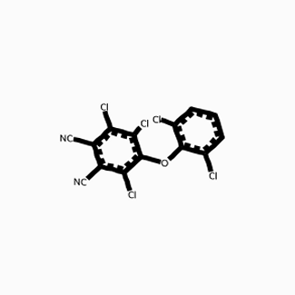 N#Cc1c(Cl)c(Cl)c(Oc2c(Cl)cccc2Cl)c(Cl)c1C#N